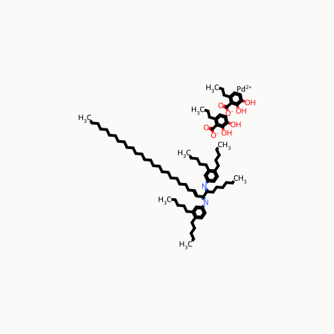 CCCCCCCCCCCCCCCCCCCCCCCCC=CC(=Nc1ccc(CCCCC)c(CCCCC)c1)C(CCCCCC)=Nc1ccc(CCCCC)c(CCCCC)c1.CCCc1ccc(O)c(O)c1C(=O)[O-].CCCc1ccc(O)c(O)c1C(=O)[O-].[Pd+2]